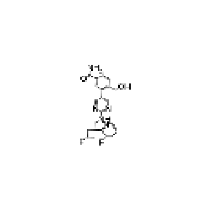 NC(=O)c1ccc(CO)c(-c2cnc(NCC3(c4ncccc4F)CC(F)C3)nc2)c1